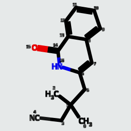 CC(C)(CC#N)Cc1cc2ccccc2c(=O)[nH]1